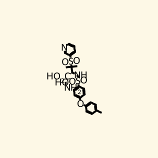 Cc1ccc(Oc2ccc(S(=O)(=O)N[C@H](C(=O)O)C(C)(C)S(=O)(=O)c3cccnc3)cc2)cc1.NO